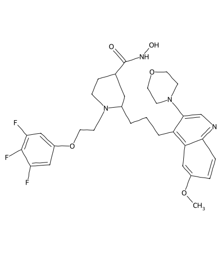 COc1ccc2ncc(N3CCOCC3)c(CCCC3CC(C(=O)NO)CCN3CCOc3cc(F)c(F)c(F)c3)c2c1